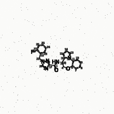 O=C(N[C@H]1COc2ccccc2-n2cccc21)c1ncn(Cc2ccccc2F)n1